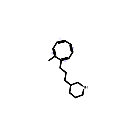 CC1=C/C=C\C=C/C=C\1CCCC1CCCNC1